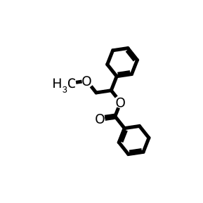 COCC(OC(=O)C1=CC=CCC1)C1=CC=CCC1